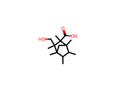 CC1C(C)C2(C)CC1(C)C(C)(CO)C2(C)C(=O)O